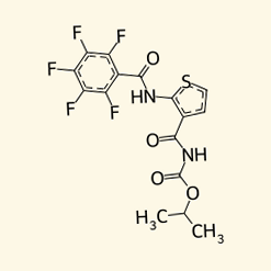 CC(C)OC(=O)NC(=O)c1ccsc1NC(=O)c1c(F)c(F)c(F)c(F)c1F